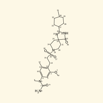 COc1cc(N(C)C(N)=O)cc(C)c1CCS(=O)(=O)N1CCC2(CC1)N=C(C1CCC(C)CC1)NC2=O